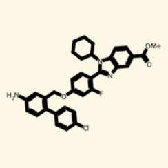 COC(=O)c1ccc2c(c1)nc(-c1ccc(OCc3cc(N)ccc3-c3ccc(Cl)cc3)cc1F)n2C1CCCCC1